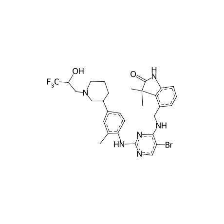 Cc1cc(C2CCCN(CC(O)C(F)(F)F)C2)ccc1Nc1ncc(Br)c(NCc2cccc3c2C(C)(C)C(=O)N3)n1